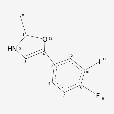 CC1NC=C(c2ccc(F)c(I)c2)O1